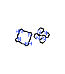 C1=Cc2cc3ccc(cc4nc(cc5ccc(cc1n2)[nH]5)C=C4)[nH]3.c1cc[c]([Fe]([c]2ccccn2)([c]2ccccn2)[c]2ccccn2)nc1